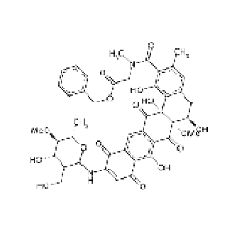 CO[C@H]1[C@H](C)OC(NC2=CC(=O)c3c(cc4c(c3O)C(=O)[C@]3(OC)[C@H](O)Cc5cc(C)c(C(=O)N(C)CC(=O)OCc6ccccc6)c(O)c5[C@]3(O)C4=O)C2=O)C(CO)[C@@H]1O